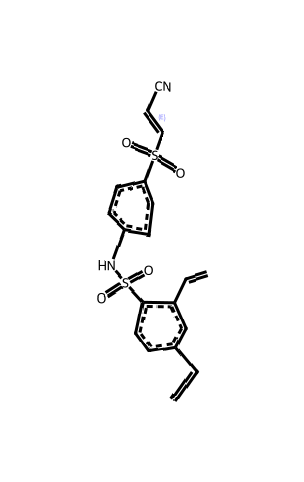 C=Cc1ccc(S(=O)(=O)Nc2ccc(S(=O)(=O)/C=C/C#N)cc2)c(C=C)c1